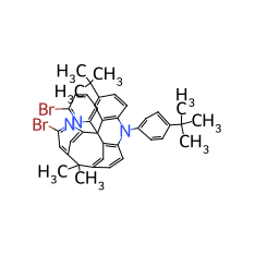 CC(C)(C)c1ccc(N2c3ccc(C(C)(C)C)cc3C3(c4cccc(Br)n4)c4cc(cc(Br)n4)C(C)(C)c4ccc2c3c4)cc1